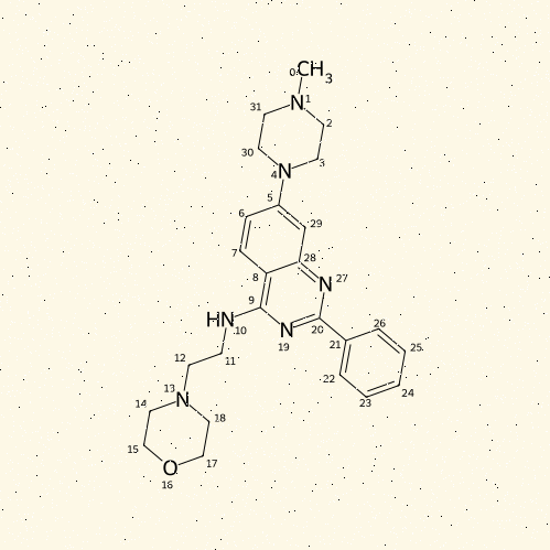 CN1CCN(c2ccc3c(NCCN4CCOCC4)nc(-c4ccccc4)nc3c2)CC1